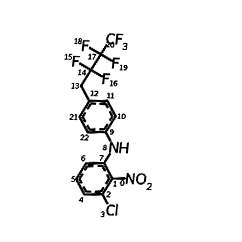 O=[N+]([O-])c1c(Cl)cccc1Nc1ccc(CC(F)(F)C(F)(F)C(F)(F)F)cc1